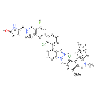 COc1cc(Cn2ncc3c(-c4cccc(-c5cc(F)c(CNC[C@H]6CCC(=O)N6)c(OC)c5)c4Cl)cccc32)c(Cl)cc1CN(C)C12CCC(C(=O)O)(CC1)CC2